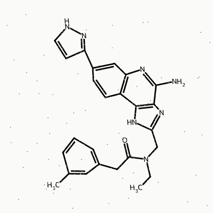 CCN(Cc1nc2c(N)nc3cc(-c4cc[nH]n4)ccc3c2[nH]1)C(=O)Cc1cccc(C)c1